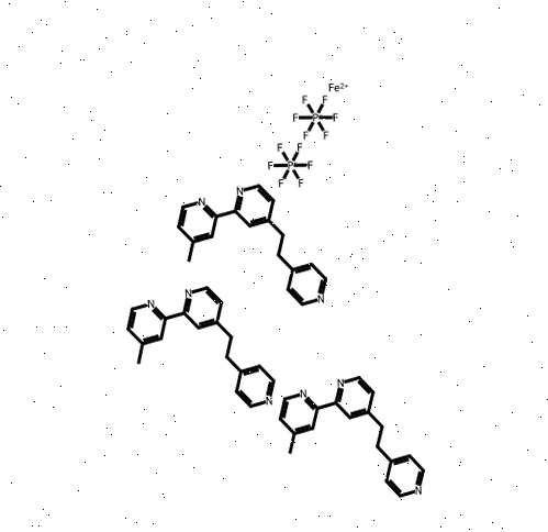 Cc1ccnc(-c2cc(CCc3ccncc3)ccn2)c1.Cc1ccnc(-c2cc(CCc3ccncc3)ccn2)c1.Cc1ccnc(-c2cc(CCc3ccncc3)ccn2)c1.F[P-](F)(F)(F)(F)F.F[P-](F)(F)(F)(F)F.[Fe+2]